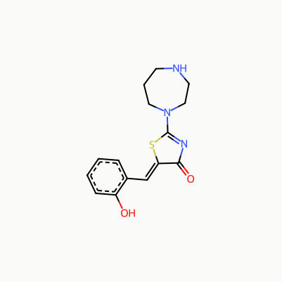 O=C1N=C(N2CCCNCC2)SC1=Cc1ccccc1O